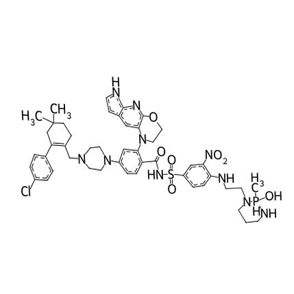 CC1(C)CCC(CN2CCN(c3ccc(C(=O)NS(=O)(=O)c4ccc(NCCN5CCCN[PH]5(C)O)c([N+](=O)[O-])c4)c(N4CCOc5nc6[nH]ccc6cc54)c3)CC2)=C(c2ccc(Cl)cc2)C1